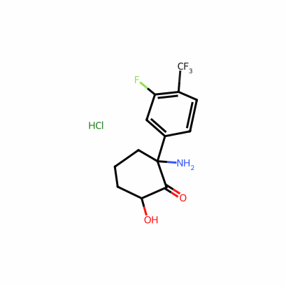 Cl.NC1(c2ccc(C(F)(F)F)c(F)c2)CCCC(O)C1=O